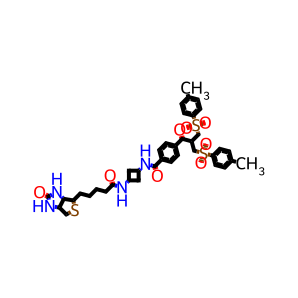 Cc1ccc(S(=O)(=O)CC(CS(=O)(=O)c2ccc(C)cc2)C(=O)c2ccc(C(=O)NC3CC(NC(=O)CCCCC4SCC5NC(=O)NC54)C3)cc2)cc1